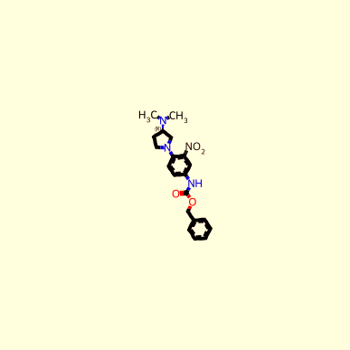 CN(C)[C@@H]1CCN(c2ccc(NC(=O)OCc3ccccc3)cc2[N+](=O)[O-])C1